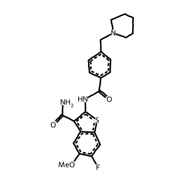 COc1cc2c(C(N)=O)c(NC(=O)c3ccc(CN4CCCCC4)cc3)sc2cc1F